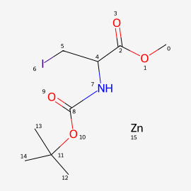 COC(=O)C(CI)NC(=O)OC(C)(C)C.[Zn]